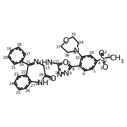 CS(=O)(=O)c1ccc(-c2nnc(NC3N=C(c4ccccc4)c4ccccc4NC3=O)o2)c(N2CCOCC2)c1